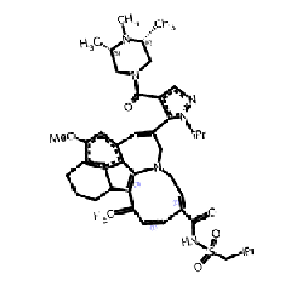 C=C1/C=C\C(C(=O)NS(=O)(=O)CC(C)C)=C/CN2CC(c3c(C(=O)N4C[C@@H](C)N(C)[C@@H](C)C4)cnn3C(C)C)=Cc3cc(OC)ccc3/C2=C/1C1CCCCC1